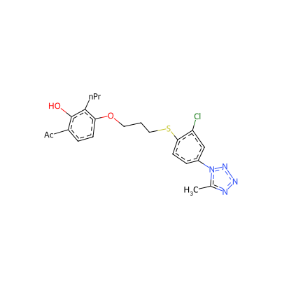 CCCc1c(OCCCSc2ccc(-n3nnnc3C)cc2Cl)ccc(C(C)=O)c1O